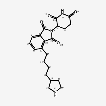 O=C1CCC(N2C(=O)c3cccc(CCCCC4CCNC4)c3C2=O)C(=O)N1